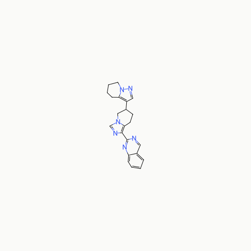 c1ccc2nc(-c3ncn4c3CCC(c3cnn5c3CCCC5)C4)ncc2c1